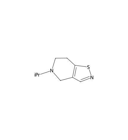 CC(C)N1CCc2sncc2C1